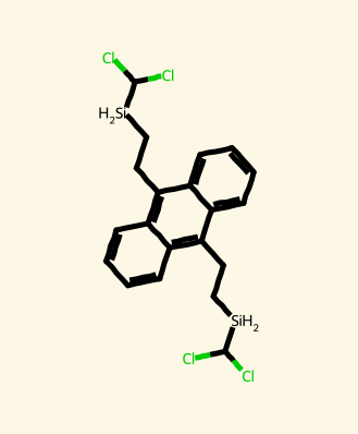 ClC(Cl)[SiH2]CCc1c2ccccc2c(CC[SiH2]C(Cl)Cl)c2ccccc12